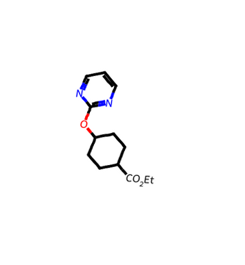 CCOC(=O)C1CCC(Oc2ncccn2)CC1